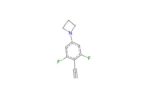 C#Cc1c(F)cc(N2CCC2)cc1F